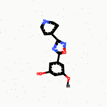 CCOc1cc(O)cc(-c2nc(-c3ccncc3)no2)c1